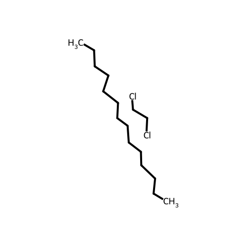 CCCCCCCCCCCCCC.ClCCCl